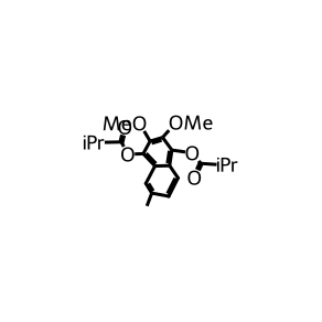 COc1c(OC)c(OC(=O)C(C)C)c2cc(C)ccc2c1OC(=O)C(C)C